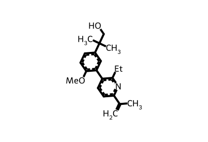 C=C(C)c1ccc(-c2cc(C(C)(C)CO)ccc2OC)c(CC)n1